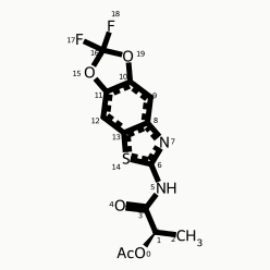 CC(=O)O[C@H](C)C(=O)Nc1nc2cc3c(cc2s1)OC(F)(F)O3